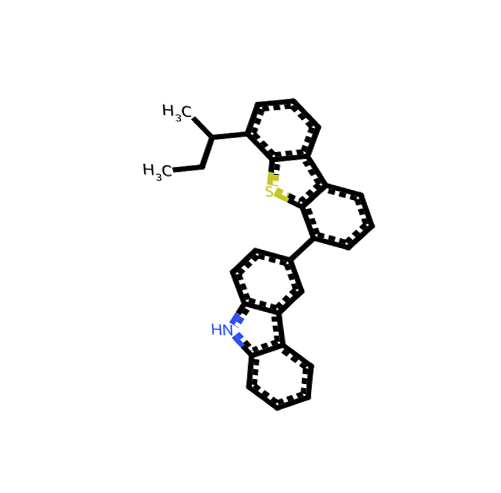 CCC(C)c1cccc2c1sc1c(-c3ccc4[nH]c5ccccc5c4c3)cccc12